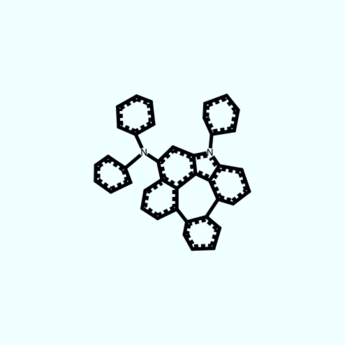 c1ccc(N(c2ccccc2)c2cc3c4c5c(cccc25)-c2ccccc2-c2cccc(c24)n3-c2ccccc2)cc1